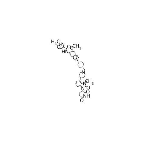 COc1cc2nn([C@H]3CC[C@H](CN4CCC(c5cccc6c5n(C)c(=O)n6[C@H]5CCC(=O)NC5=O)CC4)CC3)cc2cc1NC(=O)c1coc(C)n1